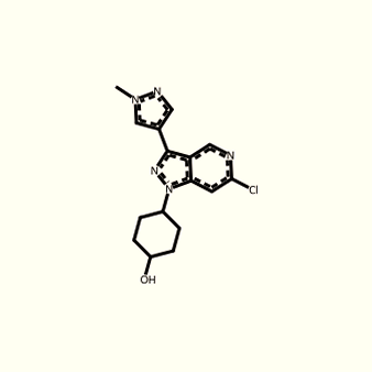 Cn1cc(-c2nn(C3CCC(O)CC3)c3cc(Cl)ncc23)cn1